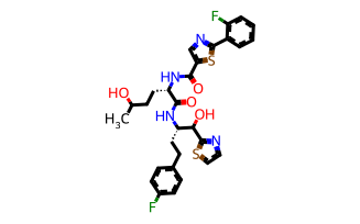 CC(O)CC[C@H](NC(=O)c1cnc(-c2ccccc2F)s1)C(=O)N[C@@H](CCc1ccc(F)cc1)C(O)c1nccs1